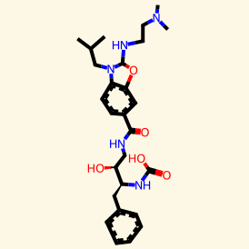 CC(C)CN1c2ccc(C(=O)NC[C@H](O)[C@H](Cc3ccccc3)NC(=O)O)cc2OC1NCCN(C)C